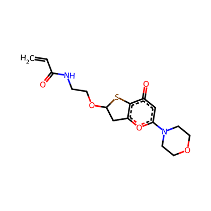 C=CC(=O)NCCOC1Cc2oc(N3CCOCC3)cc(=O)c2S1